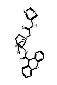 O=C(C[N+]12CCC(CC1)[C@@H](OC(=O)C1c3ccccc3Oc3ccccc31)C2)Nc1cncnc1